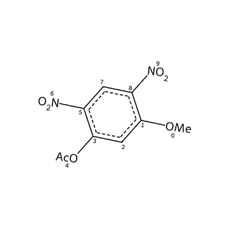 COc1cc(OC(C)=O)c([N+](=O)[O-])cc1[N+](=O)[O-]